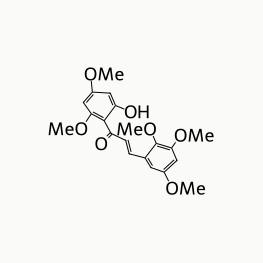 COc1cc(C=CC(=O)c2c(O)cc(OC)cc2OC)c(OC)c(OC)c1